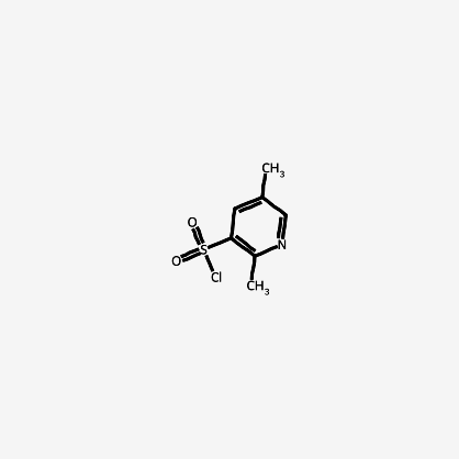 Cc1cnc(C)c(S(=O)(=O)Cl)c1